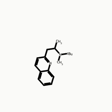 CC(Cc1ccc2ccccc2n1)N(C)C(C)(C)C